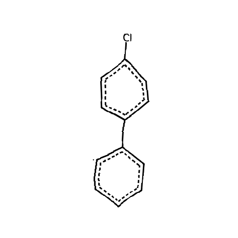 Clc1ccc(-c2[c]cccc2)cc1